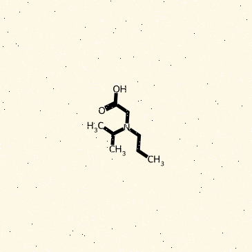 CCCN(CC(=O)O)C(C)C